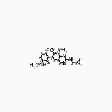 CNc1ccc(F)c(-c2cc3cnc(NCC4CC4)nc3n(C)c2=O)c1F